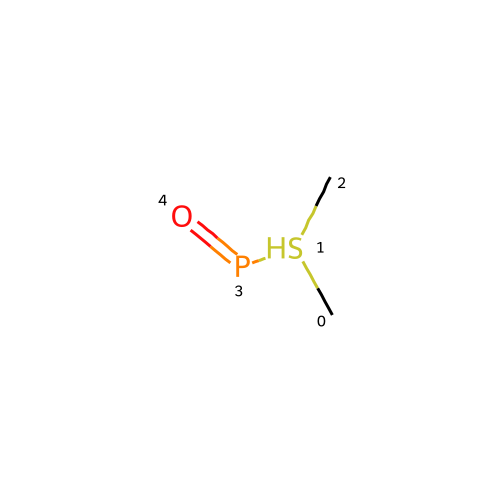 C[SH](C)P=O